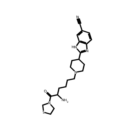 N#Cc1ccc2nc(C3CCN(CCCCC(N)C(=O)N4CCSC4)CC3)[nH]c2c1